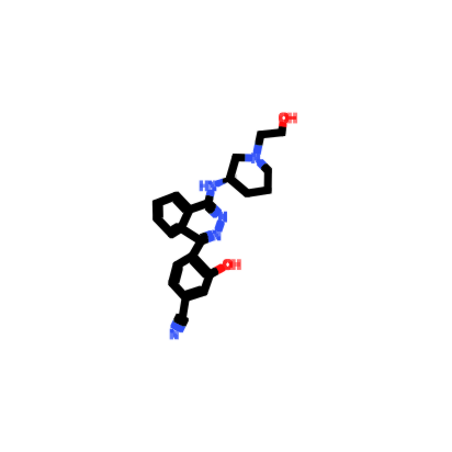 N#Cc1ccc(-c2nnc(N[C@@H]3CCCN(CCO)C3)c3ccccc23)c(O)c1